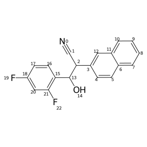 N#CC(c1ccc2ccccc2c1)C(O)c1ccc(F)cc1F